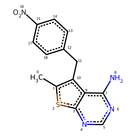 Cc1sc2ncnc(N)c2c1Cc1ccc([N+](=O)[O-])cc1